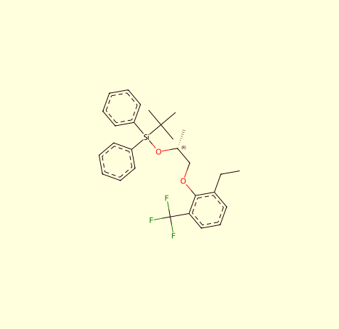 CCc1cccc(C(F)(F)F)c1OC[C@@H](C)O[Si](c1ccccc1)(c1ccccc1)C(C)(C)C